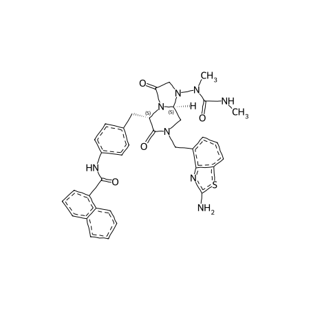 CNC(=O)N(C)N1CC(=O)N2[C@@H](Cc3ccc(NC(=O)c4cccc5ccccc45)cc3)C(=O)N(Cc3cccc4sc(N)nc34)C[C@@H]21